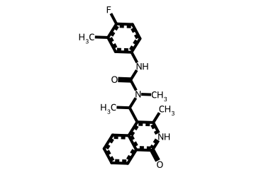 Cc1cc(NC(=O)N(C)C(C)c2c(C)[nH]c(=O)c3ccccc23)ccc1F